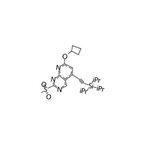 CC(C)[Si](C#Cc1cc(OC2CCC2)nc2nc(S(C)(=O)=O)ncc12)(C(C)C)C(C)C